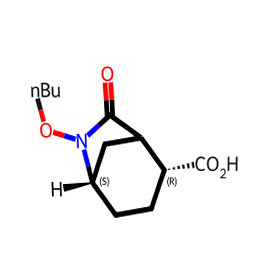 CCCCON1C(=O)C2C[C@@H]1CC[C@H]2C(=O)O